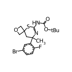 CC(C)(C)OC(=O)NC1=NC(C)(c2cc(Br)ccc2F)CC2(COC2)S1